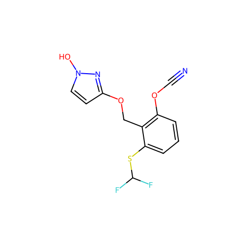 N#COc1cccc(SC(F)F)c1COc1ccn(O)n1